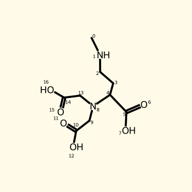 CNCCC(C(=O)O)N(CC(=O)O)CC(=O)O